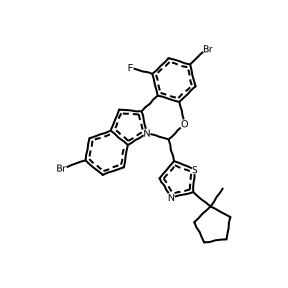 CC1(c2ncc(C3Oc4cc(Br)cc(F)c4-c4cc5cc(Br)ccc5n43)s2)CCCC1